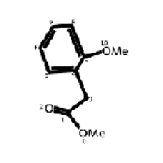 COC(=O)Cc1c[c]ccc1OC